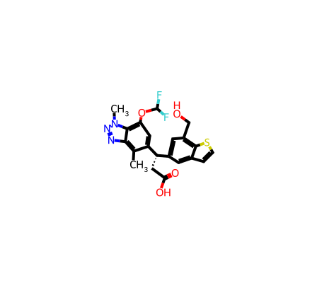 Cc1c([C@@H](CC(=O)O)c2cc(CO)c3sccc3c2)cc(OC(F)F)c2c1nnn2C